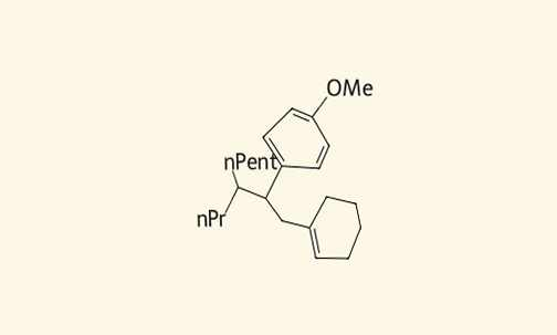 CCCCCC(CCC)C(CC1=CCCCC1)c1ccc(OC)cc1